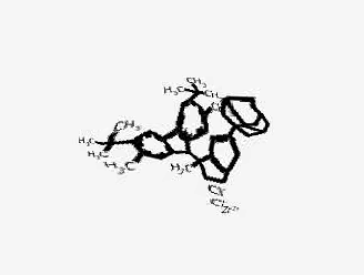 Cc1cc2c(cc1C(C)(C)C)-c1cc(C(C)(C)C)c(C)cc1C2C1(C)CCC2=C1C=C(C13CC4CC(CC(C4)C1)C3)C2.[Cl-].[Cl-].[Zr+2]